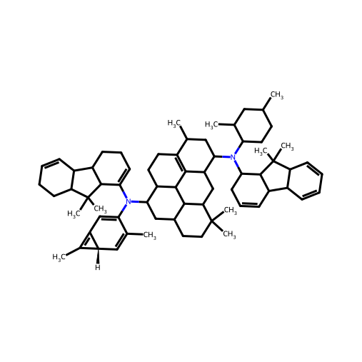 CC1=C[C@@H]2C(C)=C2C=C1N(C1=CCCC2C3C=CCCC3C(C)(C)C12)C1CC2CCC(C)(C)C3CC4C5=C(CCC1C5C23)C(C)CC4N(C1CCC(C)CC1C)C1CC=CC2C3C=CC=CC3C(C)(C)C21